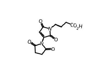 O=C(O)CCCN1C(=O)C=C(N2C(=O)CCC2=O)C1=O